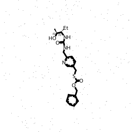 CC[C@H](NC(=O)NCc1ccc(CSC(=O)OCc2ccccc2)cn1)[C@H](C)O